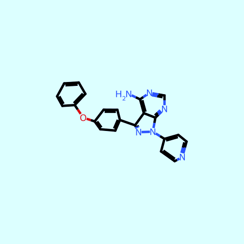 Nc1ncnc2c1c(-c1ccc(Oc3ccccc3)cc1)nn2-c1ccncc1